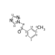 Cc1cccc(C(=O)Cn2cncn2)c1